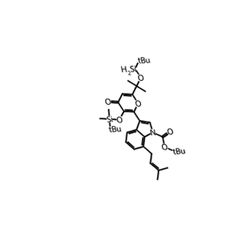 CC(C)=CCc1cccc2c(-c3oc(C(C)(C)O[SiH2]C(C)(C)C)cc(=O)c3O[Si](C)(C)C(C)(C)C)cn(C(=O)OC(C)(C)C)c12